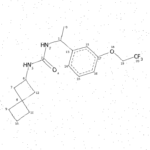 CC(NC(=O)NC1CC2(CCC2)C1)c1cccc(OCC(F)(F)F)c1